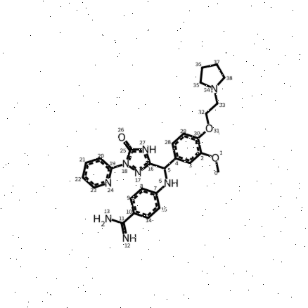 COc1cc(C(Nc2ccc(C(=N)N)cc2)c2nn(-c3ccccn3)c(=O)[nH]2)ccc1OCCN1CCCC1